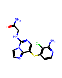 NC(=O)CNc1ncc(Sc2ccnc(N)c2Cl)c2nccn12